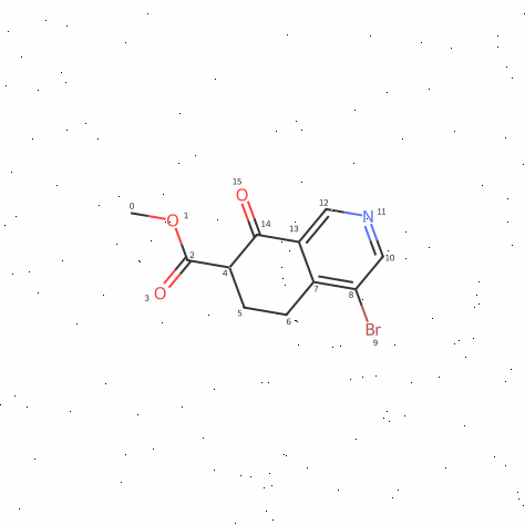 COC(=O)C1CCc2c(Br)cncc2C1=O